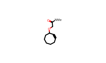 CNC(=O)COC1C#CCCCCC1